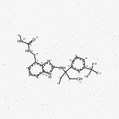 CCC(CO)(Nc1nc2c(CNC(=O)NC)cccc2[nH]1)c1cccc(C(F)(F)F)c1